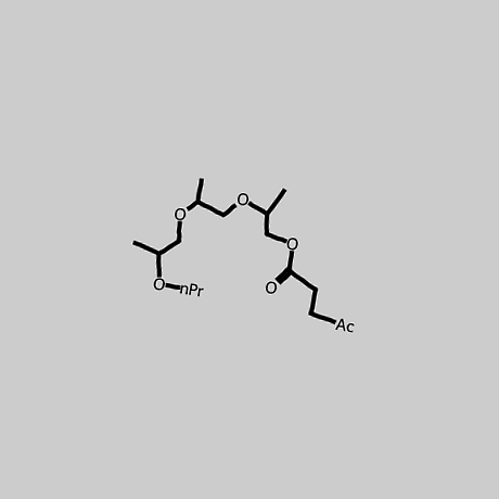 CCCOC(C)COC(C)COC(C)COC(=O)CCC(C)=O